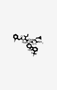 CCC(C)[C@H](NC(=O)Cc1ccccc1F)C(=O)N[C@@]1(OC(=O)N[C@@H](CC2CC2)C(N)=S)CCc2[nH]c3c(C(F)(F)F)cccc3c2C1